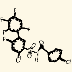 O=C(NS(=O)(=O)c1cc(-c2c(F)cc(F)c(F)c2F)c(F)cc1Cl)c1ccc(Cl)cc1